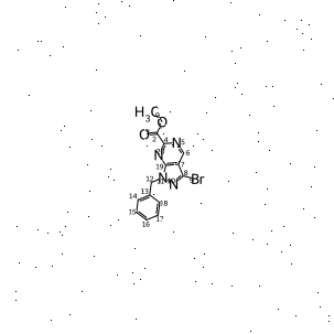 COC(=O)c1ncc2c(Br)nn(Cc3ccccc3)c2n1